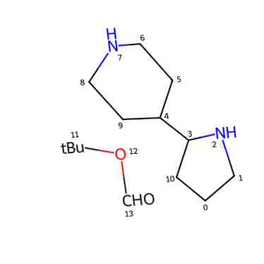 C1CNC(C2CCNCC2)C1.CC(C)(C)OC=O